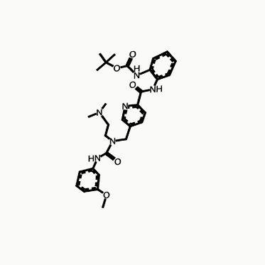 COc1cccc(NC(=O)N(CCN(C)C)Cc2ccc(C(=O)Nc3ccccc3NC(=O)OC(C)(C)C)nc2)c1